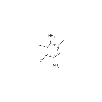 Cc1cc(N)c(Cl)c(C)c1N